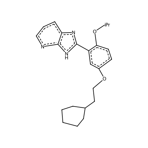 CC(C)Oc1ccc(OCCC2CCCCC2)cc1-c1nc2cccnc2[nH]1